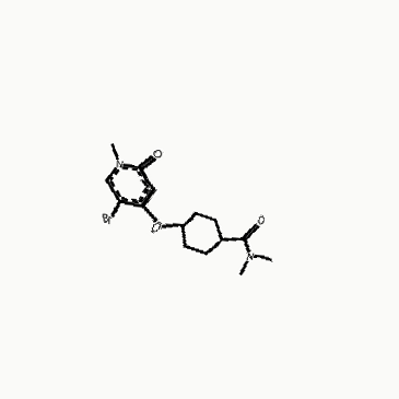 CN(C)C(=O)C1CCC(Oc2cc(=O)n(C)cc2Br)CC1